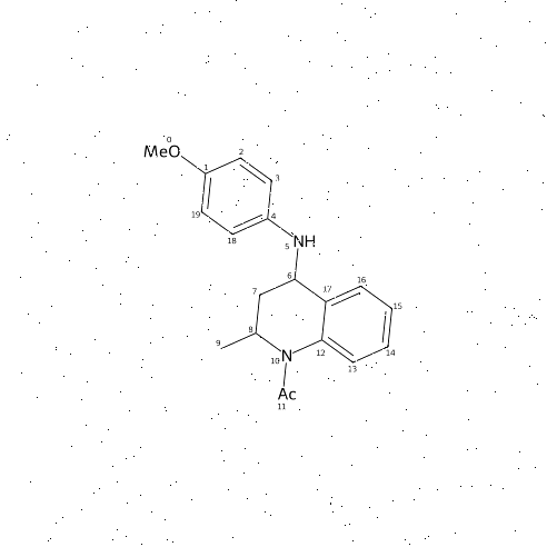 COc1ccc(NC2CC(C)N(C(C)=O)c3ccccc32)cc1